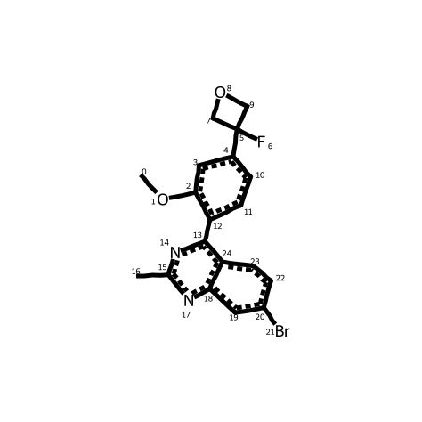 COc1cc(C2(F)COC2)ccc1-c1nc(C)nc2cc(Br)ccc12